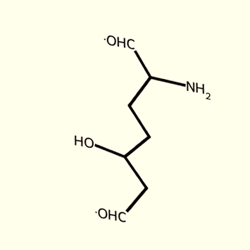 NC([C]=O)CCC(O)C[C]=O